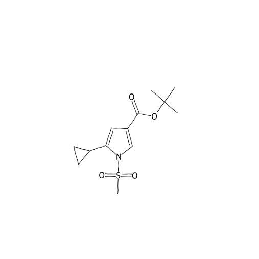 CC(C)(C)OC(=O)c1cc(C2CC2)n(S(C)(=O)=O)c1